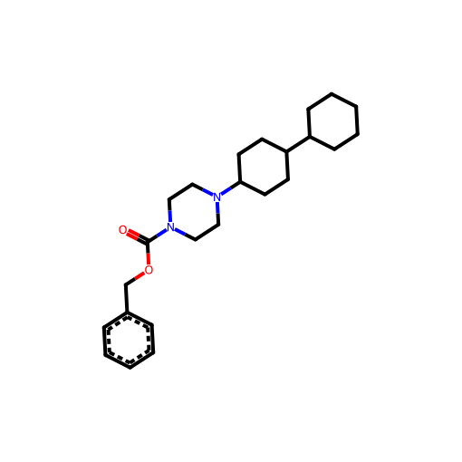 O=C(OCc1ccccc1)N1CCN(C2CCC(C3CCCCC3)CC2)CC1